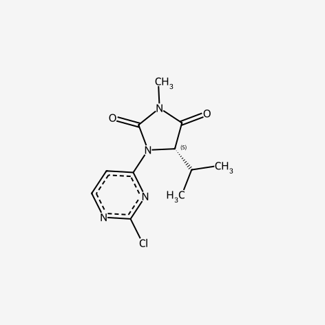 CC(C)[C@H]1C(=O)N(C)C(=O)N1c1ccnc(Cl)n1